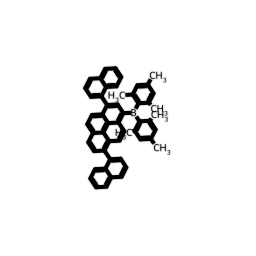 Cc1cc(C)c(B(c2c(C)cc(C)cc2C)c2cc(-c3cccc4ccccc34)c3ccc4ccc(-c5cccc6ccccc56)c5ccc2c3c45)c(C)c1